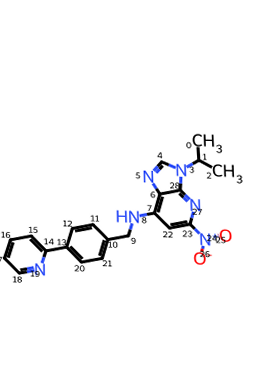 CC(C)n1cnc2c(NCc3ccc(-c4ccccn4)cc3)cc([N+](=O)[O-])nc21